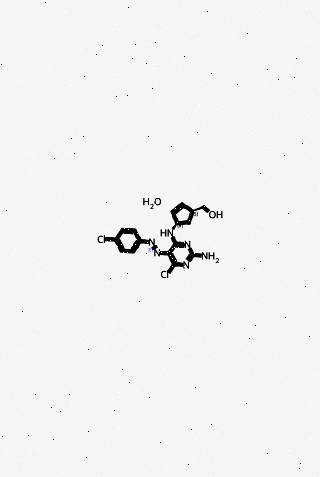 Nc1nc(Cl)c(/N=N/c2ccc(Cl)cc2)c(N[C@H]2C=C[C@@H](CO)C2)n1.O